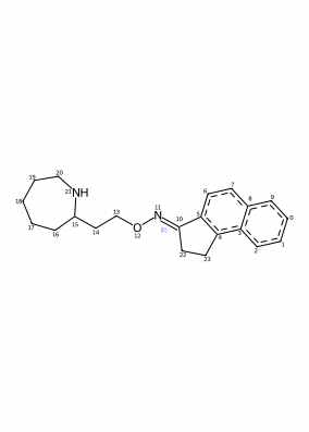 c1ccc2c3c(ccc2c1)/C(=N/OCCC1CCCCCN1)CC3